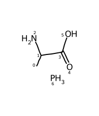 CC(N)C(=O)O.P